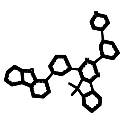 CC1(C)c2ccccc2-c2nc(-c3cccc(-c4ccncc4)c3)nc(-c3cccc(-c4cccc5c4oc4ccccc45)c3)c21